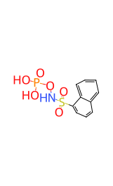 O=P(O)(O)ONS(=O)(=O)c1cccc2ccccc12